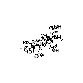 C[C@H](NC(=O)[C@H](CC(=O)O)NC(=O)[C@@H](N)CCC(=O)O)C(=O)N[C@@H](CCC(=O)O)C(=O)N[C@H](C(=O)O)[C@@H](C)O